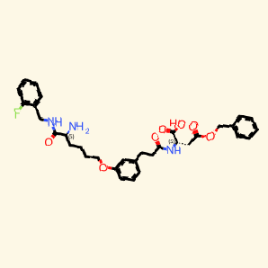 N[C@@H](CCCCOc1cccc(CCC(=O)N[C@@H](CC(=O)OCc2ccccc2)C(=O)O)c1)C(=O)NCc1ccccc1F